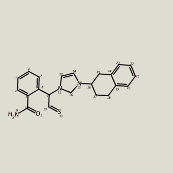 NC(=O)c1ccccc1C(C=S)N1C=CN(C2CCc3ccccc3C2)C1